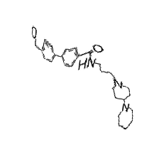 O=Cc1ccc(-c2ccc(C(=O)NCCCN3CCC(N4CCCCC4)CC3)cc2)cc1